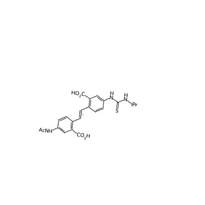 CC(=O)Nc1ccc(/C=C/c2ccc(NC(=S)NC(C)C)cc2C(=O)O)c(C(=O)O)c1